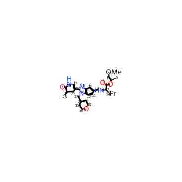 COC[C@@H](C)OC(=O)C(NCc1ccc2c(c1)nc(-c1c[nH]c(=O)c(C)c1)n2CC1CCOCC1)C(C)C